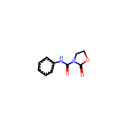 O=C(Nc1ccccc1)N1CCOC1=O